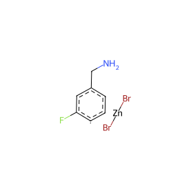 NCc1cc[c]c(F)c1.[Br][Zn][Br]